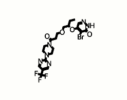 CCC(COCCC(=O)N1CCN(c2ncc(C(F)(F)F)cn2)CC1)Oc1cn[nH]c(=O)c1Br